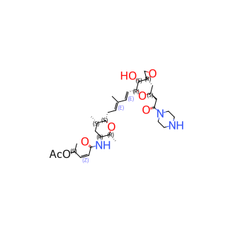 CC(=O)O[C@@H](C)/C=C\C(=O)N[C@@H]1C[C@H](C)[C@H](C/C=C(C)/C=C/[C@H]2O[C@H](CC(=O)N3CCNCC3)C[C@@]3(CO3)[C@H]2O)O[C@@H]1C